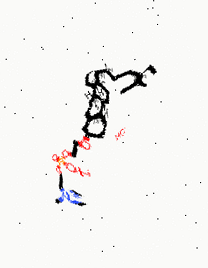 CC[C@H](CC[C@@H](C)[C@H]1CC[C@H]2[C@@H]3CCC4CC(OCCOP(=O)(O)OCC[N+](C)(C)C)CC[C@]4(C)[C@H]3CC[C@]12C)C(C)C.[OH-]